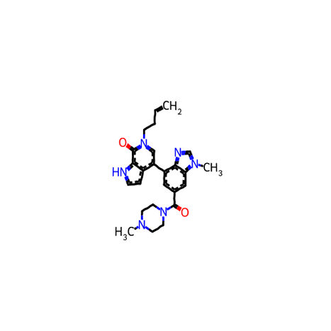 C=CCCn1cc(-c2cc(C(=O)N3CCN(C)CC3)cc3c2ncn3C)c2cc[nH]c2c1=O